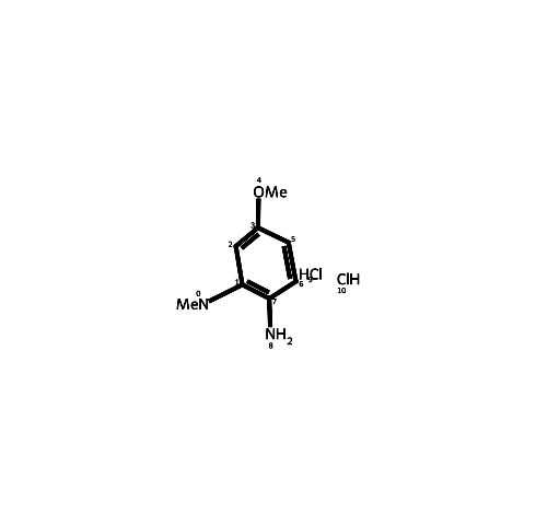 CNc1cc(OC)ccc1N.Cl.Cl